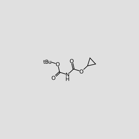 CC(C)(C)OC(=O)NC(=O)OC1CC1